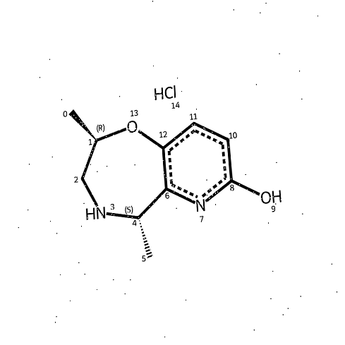 C[C@@H]1CN[C@@H](C)c2nc(O)ccc2O1.Cl